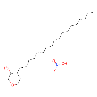 CCCCCCCCCCCCCCCCCCC1CCOCC1O.O=[N+]([O-])O